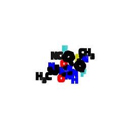 Cc1cncc(-n2c(=O)nc(Nc3cc4sc(C)nc4cc3F)n(Cc3ccc(F)c(C#N)c3)c2=O)c1